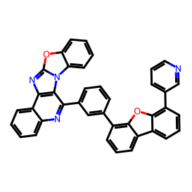 c1cncc(-c2cccc3c2oc2c(-c4cccc(-c5nc6ccccc6c6nc7oc8ccccc8n7c56)c4)cccc23)c1